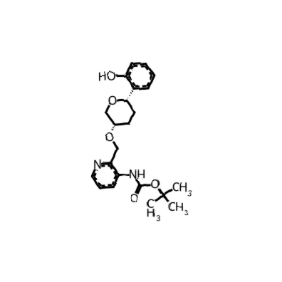 CC(C)(C)OC(=O)Nc1cccnc1CO[C@H]1CC[C@@H](c2ccccc2O)OC1